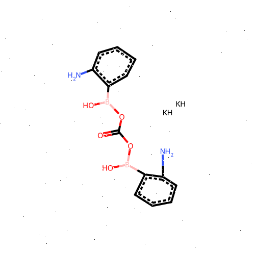 Nc1ccccc1B(O)OC(=O)OB(O)c1ccccc1N.[KH].[KH]